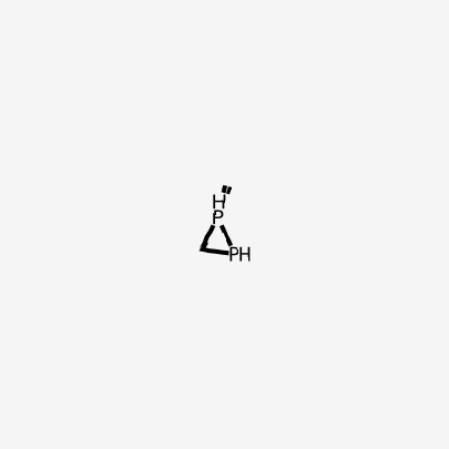 C=[PH]1CP1